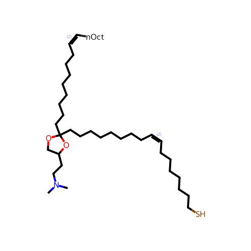 CCCCCCCC/C=C\CCCCCCCCC1(CCCCCCCC/C=C\CCCCCCCS)OCC(CCN(C)C)O1